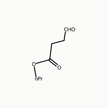 CCCOC(=O)CC[C]=O